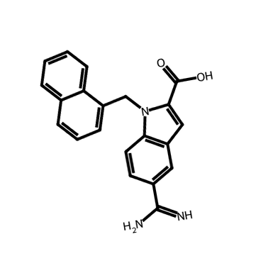 N=C(N)c1ccc2c(c1)cc(C(=O)O)n2Cc1cccc2ccccc12